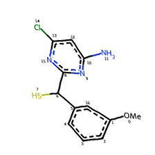 COc1cccc(C(S)c2nc(N)cc(Cl)n2)c1